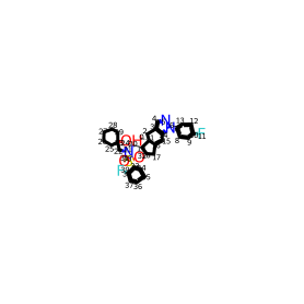 C[C@]12Cc3cnn(-c4ccc(F)cc4)c3C=C1CC[C@@H]2CN(CC1(O)CCCCC1)S(=O)(=O)c1ccccc1F